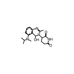 CC1=Nc2cccc(N(C)C(C)C)c2C(O)N1C1CCC(=O)NC1=O